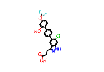 O=C(O)CCc1n[nH]c2cc(Cl)c(-c3ccc(-c4ccc(OC(F)F)cc4O)cc3)cc12